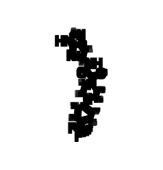 O=C(Nc1cnc2[nH]cnc2c1)C(=O)N1CCN(c2ccc(C(F)(F)F)cc2)CC1